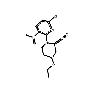 CCON1CCN(c2nc(Cl)ccc2[N+](=O)[O-])C(=C=O)C1